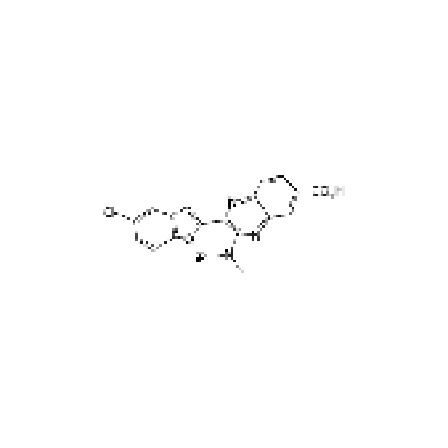 CC(C)N(C)c1nc2cc(C(=O)O)ccc2nc1-c1cc2cc(Cl)ccc2o1